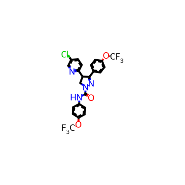 O=C(Nc1ccc(OC(F)(F)F)cc1)N1CC(c2ccc(Cl)cn2)C(c2ccc(OC(F)(F)F)cc2)=N1